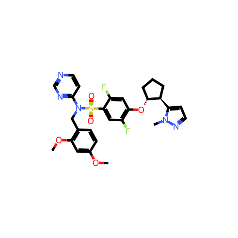 COc1ccc(CN(c2ccncn2)S(=O)(=O)c2cc(F)c(O[C@@H]3CCC[C@H]3c3ccnn3C)cc2F)c(OC)c1